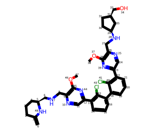 C=C1CCC[C@@H](CNCc2ncc(-c3cccc(-c4cccc(-c5cnc(CN[C@H]6CC[C@@H](CO)C6)c(OC)n5)c4Cl)c3Cl)nc2OC)N1